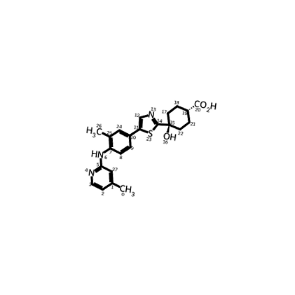 Cc1ccnc(Nc2ccc(-c3cnc([C@]4(O)CC[C@H](C(=O)O)CC4)s3)cc2C)c1